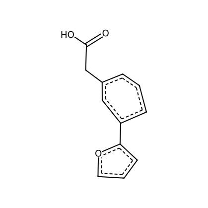 O=C(O)Cc1cccc(-c2ccco2)c1